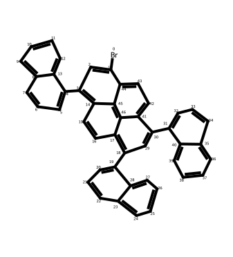 Brc1cc(-c2cccc3ccccc23)c2ccc3c(-c4cccc5ccccc45)cc(-c4cccc5ccccc45)c4ccc1c2c43